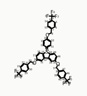 FC(F)(F)c1ccc(COc2ccc([SH]3c4ccc(OCc5ccc(C(F)(F)F)cc5)cc4-c4cc(OCc5ccc(C(F)(F)F)cc5)ccc43)cc2)cc1